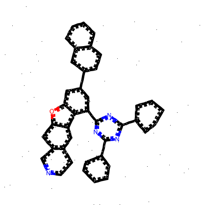 c1ccc(-c2nc(-c3ccccc3)nc(-c3cc(-c4ccc5ccccc5c4)cc4oc5cc6cnccc6cc5c34)n2)cc1